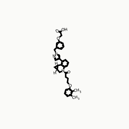 Cc1cccc(OCCCC(=O)N2C[C@@H]3C[C@@H]3c3c(-c4cnn(Cc5cccc(OCC(=O)O)c5)c4)cccc32)c1C